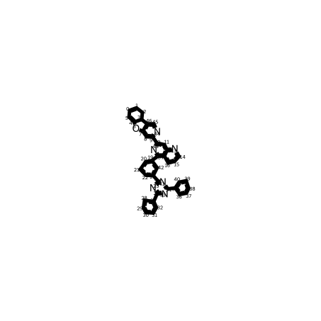 C1=CCC2C(=C1)Oc1cc(-c3cc4ncccc4c(-c4cccc(-c5nc(-c6ccccc6)nc(-c6ccccc6)n5)c4)n3)ncc12